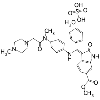 COC(=O)c1ccc2c(c1)NC(=O)C2=C(Nc1ccc(N(C)C(=O)CN2CCN(C)CC2)cc1)c1ccccc1.O.O=S(=O)(O)O